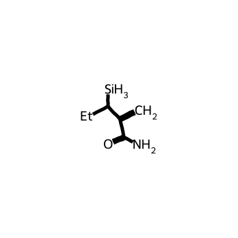 C=C(C(N)=O)C([SiH3])CC